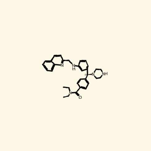 CCN(CC)C(=O)c1ccc([C@@H](c2cccc(NCc3ccc4ccccc4n3)c2)N2CCNCC2)cc1